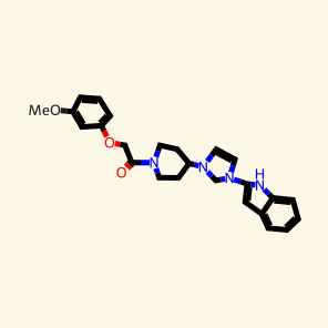 COc1cccc(OCC(=O)N2CCC(N3C=CN(c4cc5ccccc5[nH]4)C3)CC2)c1